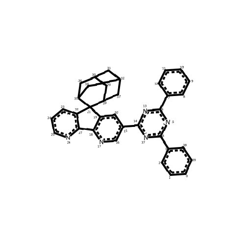 c1ccc(-c2nc(-c3ccccc3)nc(-c3cnc4c(c3)C3(c5cccnc5-4)C4CC5CC(C4)CC3C5)n2)cc1